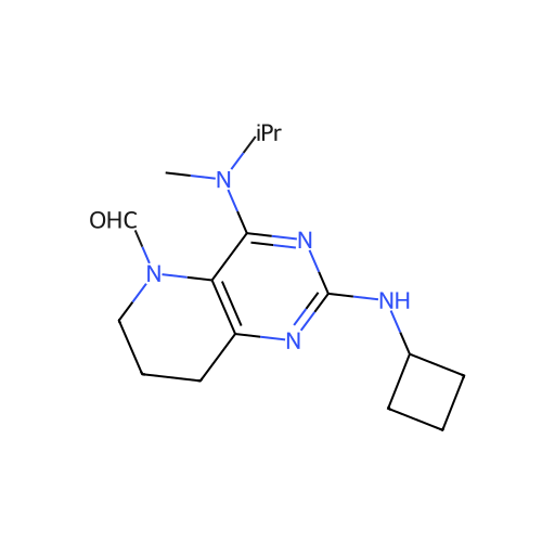 CC(C)N(C)c1nc(NC2CCC2)nc2c1N(C=O)CCC2